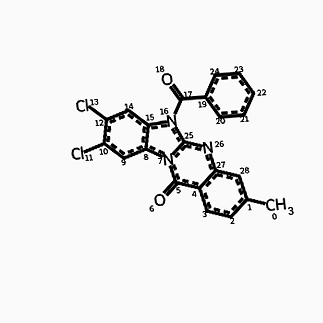 Cc1ccc2c(=O)n3c4cc(Cl)c(Cl)cc4n(C(=O)c4ccccc4)c3nc2c1